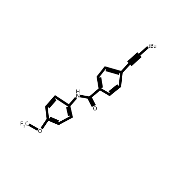 CC(C)(C)C#Cc1ccc(C(=O)Nc2ccc(OC(F)(F)F)cc2)cc1